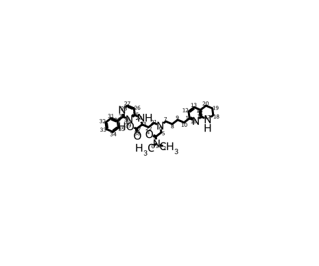 CN(C)C(=O)CN(CCCCc1ccc2c(n1)NCCC2)CCC(Nc1ccnc(-c2ccccc2)n1)C(=O)O